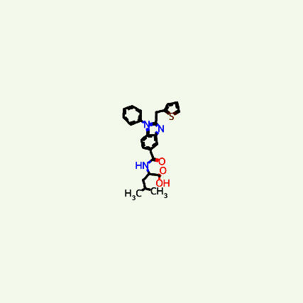 CC(C)CC(NC(=O)c1ccc2c(c1)nc(Cc1cccs1)n2-c1ccccc1)C(=O)O